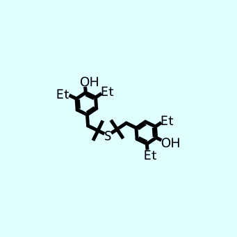 CCc1cc(CC(C)(C)SC(C)(C)Cc2cc(CC)c(O)c(CC)c2)cc(CC)c1O